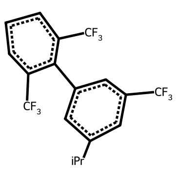 CC(C)c1cc(-c2c(C(F)(F)F)cccc2C(F)(F)F)cc(C(F)(F)F)c1